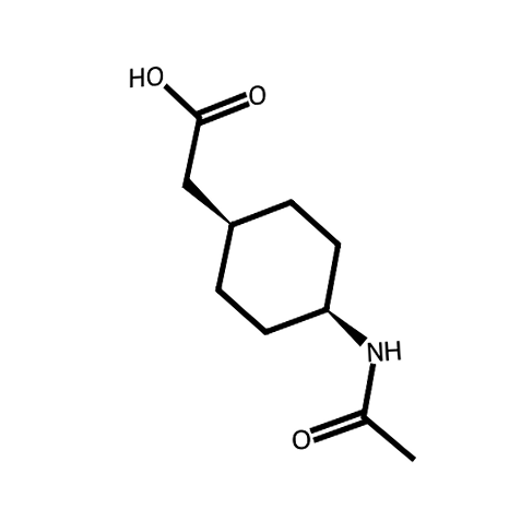 CC(=O)N[C@H]1CC[C@@H](CC(=O)O)CC1